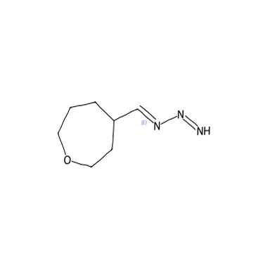 N=N/N=C/C1CCCOCC1